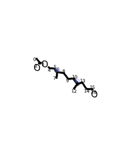 CC(=O)OC/C=C(\C)CC/C=C(\C)CCC=O